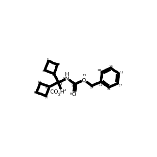 O=C(NC(C(=O)O)(C1CCC1)C1CCC1)OCc1ccccc1